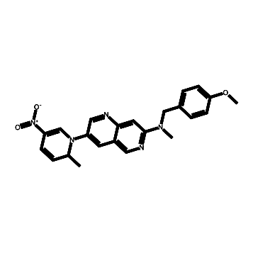 COc1ccc(CN(C)c2cc3ncc(N4C=C([N+](=O)[O-])C=CC4C)cc3cn2)cc1